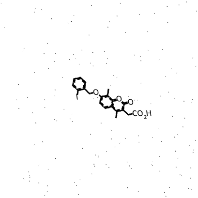 Cc1c(CC(=O)O)c(=O)oc2c(C)c(OCc3ccccc3I)ccc12